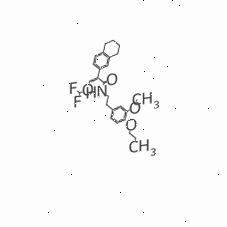 CCCOc1ccc(CCNC(=O)C(=COC(F)F)c2ccc3c(c2)CCCC3)cc1OC